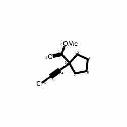 COC(=O)C1(C#CCl)CCCC1